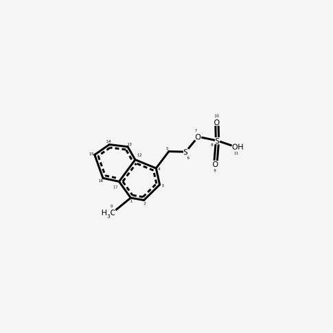 Cc1ccc(CSOS(=O)(=O)O)c2ccccc12